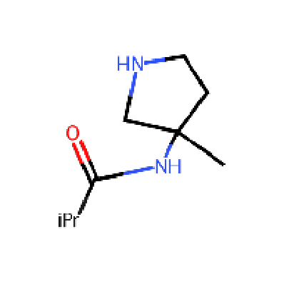 CC(C)C(=O)NC1(C)CCNC1